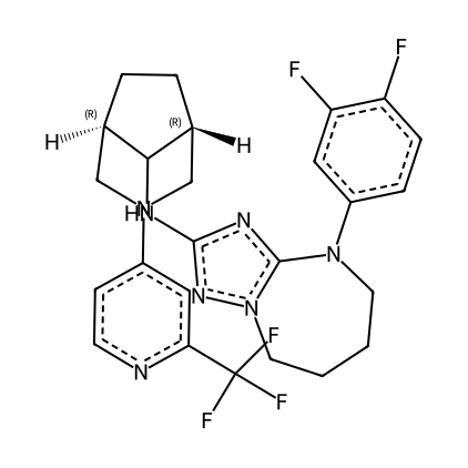 Fc1ccc(N2CCCCn3nc(NC4[C@@H]5CC[C@@H]4CN(c4ccnc(C(F)(F)F)c4)C5)nc32)cc1F